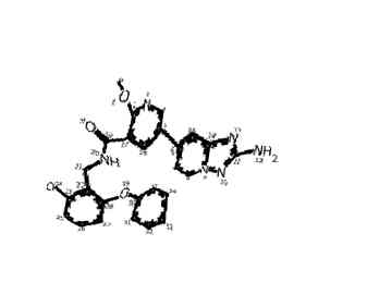 COc1ncc(-c2ccn3nc(N)nc3c2)cc1C(=O)NCc1c(Cl)cccc1Oc1ccccc1